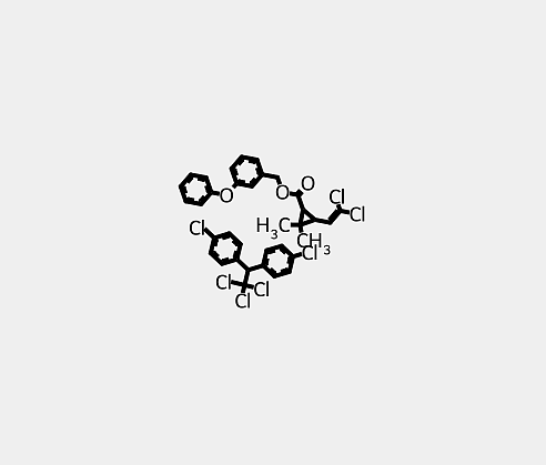 CC1(C)C(C=C(Cl)Cl)C1C(=O)OCc1cccc(Oc2ccccc2)c1.Clc1ccc(C(c2ccc(Cl)cc2)C(Cl)(Cl)Cl)cc1